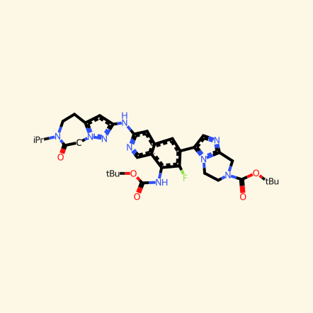 CC(C)N1CCc2cc(Nc3cc4cc(-c5cnc6n5CCN(C(=O)OC(C)(C)C)C6)c(F)c(NC(=O)OC(C)(C)C)c4cn3)nn2CC1=O